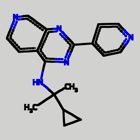 CC(C)(Nc1nc(-c2ccncc2)nc2cnccc12)C1CC1